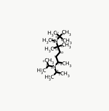 CC(C)N(C(C)C)C(C)CCC(C)(C)N(C)C(C)(C)C